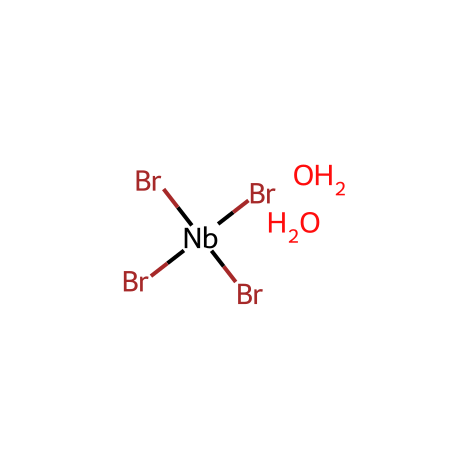 O.O.[Br][Nb]([Br])([Br])[Br]